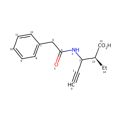 C#CC(NC(=O)Cc1ccccc1)[C@H](CC)C(=O)O